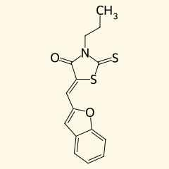 CCCN1C(=O)C(=Cc2cc3ccccc3o2)SC1=S